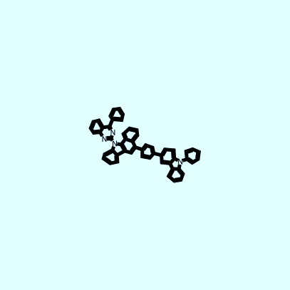 c1ccc(-c2nc(-n3c4ccccc4c4cc(-c5ccc(-c6ccc7c(c6)c6ccccc6n7-c6ccccc6)cc5)c5ccccc5c43)nc3ccccc23)cc1